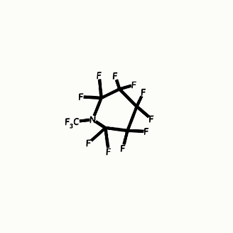 FC(F)(F)N1C(F)(F)C(F)(F)C(F)(F)C(F)(F)C1(F)F